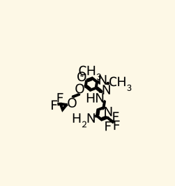 COc1cc2nc(C)nc(NCc3cc(N)cc(C(F)(F)F)n3)c2cc1OCCOC1CC1(F)F